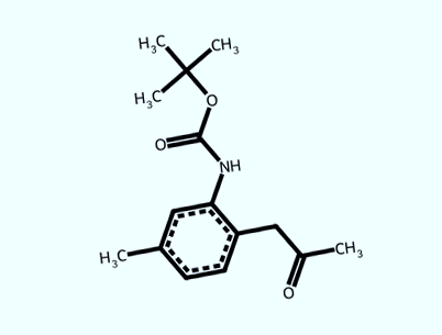 CC(=O)Cc1ccc(C)cc1NC(=O)OC(C)(C)C